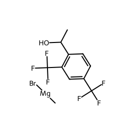 CC(O)c1ccc(C(F)(F)F)cc1C(F)(F)F.[CH3][Mg][Br]